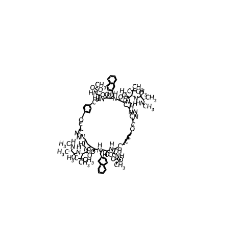 CN[C@@H](C)C(=O)N[C@H](C(=O)N1C[C@@H]2C[C@H]1C(=O)N[C@@H](Cc1ccc3ccccc3c1)C(=O)N[C@H](C(=O)NS(C)(=O)=O)Cc1ccc(cc1)OCc1cn(nn1)[C@H]1C[C@@H](C(=O)N[C@@H](Cc3ccc4ccccc4c3)C(=O)N[C@H](C(=O)NS(C)(=O)=O)Cc3ccc(cc3)OCc3cn2nn3)N(C(=O)[C@@H](NC(=O)[C@H](C)NC)C(C)(C)C)C1)C(C)(C)C